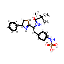 CC(C)(C)C(=O)N[C@@H](Cc1ccc(NS(=O)(=O)O)cc1)C1=NC(c2ccccc2)CS1